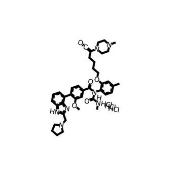 CNC(=O)N(C(=O)c1ccc(-c2cccc3[nH]c(CN4CCCC4)nc23)c(OC)c1)c1ccc(C)cc1OCCCCC(=C=O)N1CCN(C)CC1.Cl.Cl.Cl